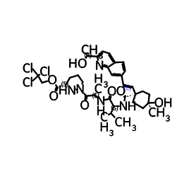 CC(C)[C@H](NC(=O)[C@]1(/C=C/c2ccc3ccc([C@@H](C)O)nc3c2)CC[C@@](C)(O)CC1)C(=O)N[C@@H](C)C(=O)N1CCC[C@@H](C(=O)OCC(Cl)(Cl)Cl)N1